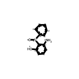 Nc1cccc(O)c1[S+]([O-])c1ccccc1